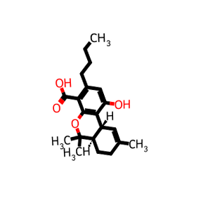 CCCCc1cc(O)c2c(c1C(=O)O)OC(C)(C)[C@@H]1CCC(C)=C[C@@H]21